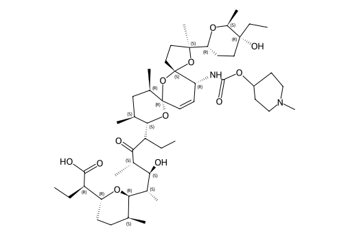 CCC(C(=O)[C@@H](C)[C@@H](O)[C@H](C)[C@@H]1O[C@@H]([C@@H](CC)C(=O)O)CC[C@@H]1C)[C@H]1O[C@]2(C=C[C@@H](NC(=O)OC3CCN(C)CC3)[C@]3(CC[C@@](C)([C@H]4CC[C@](O)(CC)[C@H](C)O4)O3)O2)[C@H](C)C[C@@H]1C